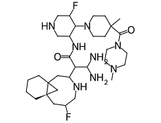 CN1CCN(C(=O)C2(C)CCN(C3C(F)CNCC3NC(=O)C(C(N)N)C3CC45CCCC[C@]4(CC(F)CN3)C5)CC2)CC1